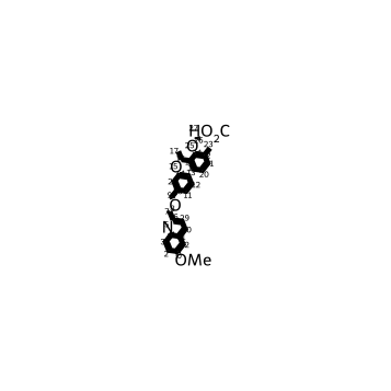 COc1ccc2nc(COCc3cccc(OC(C)c4cccc(C)c4OCC(=O)O)c3)ccc2c1